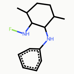 CC1CCC(C)C(Nc2ccccc2)C1NF